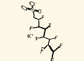 O=S(=O)([O-])CC(F)C(F)C(F)C(F)C(F)C(F)C(F)F.[K+]